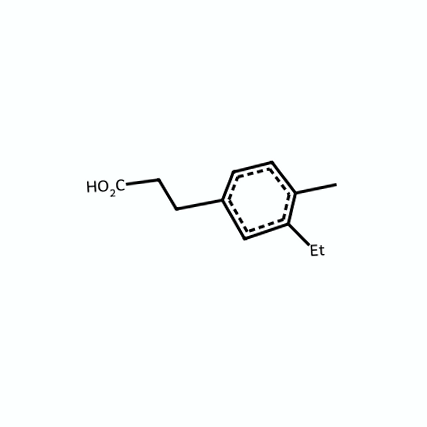 CCc1cc(CCC(=O)O)ccc1C